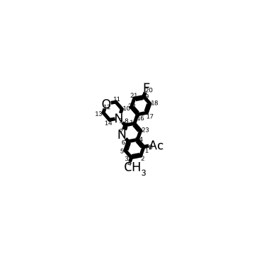 CC(=O)c1cc(C)cc2nc(N3CCOCC3)c(-c3ccc(F)cc3)cc12